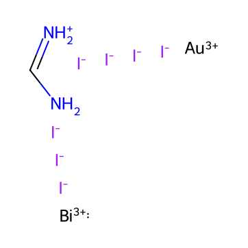 NC=[NH2+].[Au+3].[Bi+3].[I-].[I-].[I-].[I-].[I-].[I-].[I-]